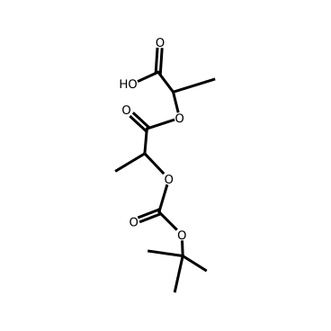 CC(OC(=O)C(C)OC(=O)OC(C)(C)C)C(=O)O